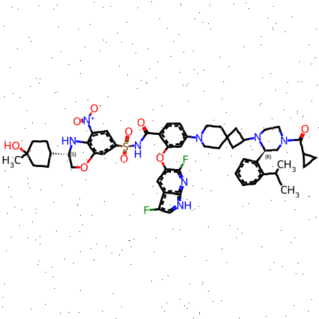 CC(C)c1ccccc1[C@@H]1CN(C(=O)C2CC2)CCN1C1CC2(CCN(c3ccc(C(=O)NS(=O)(=O)c4cc5c(c([N+](=O)[O-])c4)N[C@@H](C4CCC(C)(O)CC4)CO5)c(Oc4cc5c(F)c[nH]c5nc4F)c3)CC2)C1